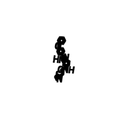 O=C(Cc1nccs1)Nc1ccc2nc(-c3ccc(Oc4ccccc4)cc3)[nH]c2c1